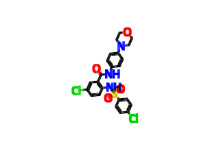 O=C(Nc1ccc(N2CCOCC2)cc1)c1cc(Cl)ccc1NS(=O)(=O)c1ccc(Cl)cc1